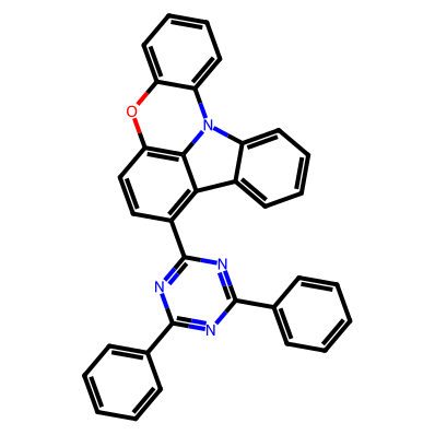 c1ccc(-c2nc(-c3ccccc3)nc(-c3ccc4c5c3c3ccccc3n5-c3ccccc3O4)n2)cc1